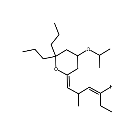 CCCC1(CCC)CC(OC(C)C)C/C(=C\C(C)/C=C(/F)CC)O1